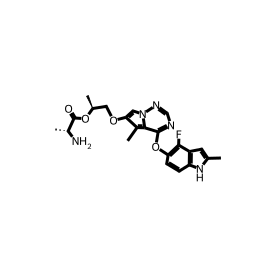 Cc1cc2c(F)c(Oc3ncnn4cc(OC[C@H](C)OC(=O)[C@@H](C)N)c(C)c34)ccc2[nH]1